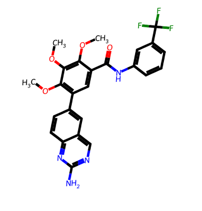 COc1c(C(=O)Nc2cccc(C(F)(F)F)c2)cc(-c2ccc3nc(N)ncc3c2)c(OC)c1OC